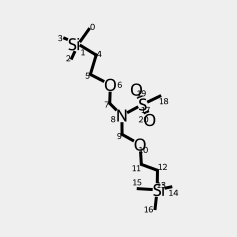 C[Si](C)(C)CCOCN(COCC[Si](C)(C)C)S(C)(=O)=O